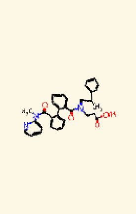 CC(CN(CCC(=O)O)C(=O)c1ccccc1-c1ccccc1C(=O)N(C)c1ccccn1)c1ccccc1